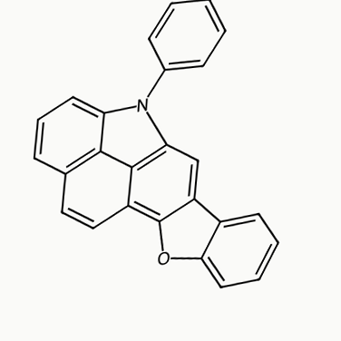 c1ccc(-n2c3cccc4ccc5c6oc7ccccc7c6cc2c5c43)cc1